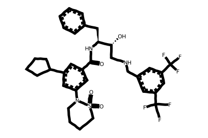 O=C(N[C@@H](Cc1ccccc1)[C@H](O)CNCc1cc(C(F)(F)F)cc(C(F)(F)F)c1)c1cc(C2CCCC2)cc(N2CCCCS2(=O)=O)c1